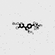 CC(C)COc1ncc(-c2cn(C)c3cc(C(=O)NS(=O)(=O)C(C)C)ccc23)cc1Cl